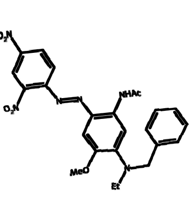 CCN(Cc1ccccc1)c1cc(NC(C)=O)c(/N=N/c2ccc([N+](=O)[O-])cc2[N+](=O)[O-])cc1OC